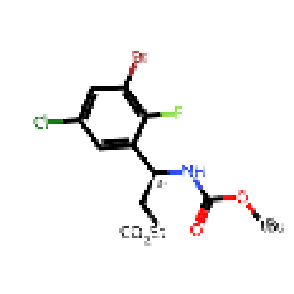 CCOC(=O)C[C@H](NC(=O)OC(C)(C)C)c1cc(Cl)cc(Br)c1F